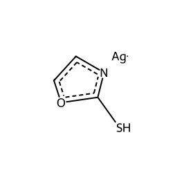 Sc1ncco1.[Ag]